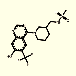 CS(=O)(=O)NCC1CCCN(c2ncnc3cc(O)c(C(F)(F)F)cc23)C1